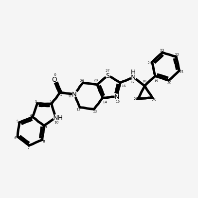 O=C(c1cc2ccccc2[nH]1)N1CCc2nc(NC3(c4ccccc4)CC3)sc2C1